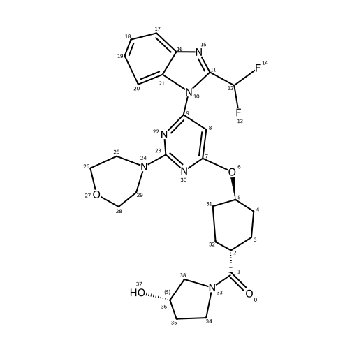 O=C([C@H]1CC[C@H](Oc2cc(-n3c(C(F)F)nc4ccccc43)nc(N3CCOCC3)n2)CC1)N1CC[C@H](O)C1